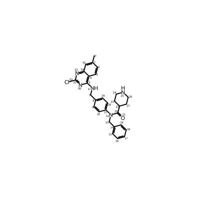 Cc1ccc2c(NCc3ccc(N(Cc4ccccc4)C(=O)C4CCNCC4)cc3)nc(Cl)nc2c1